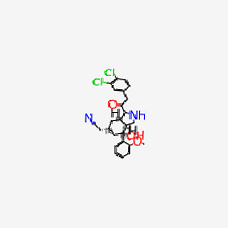 COc1ccccc1[C@]1(O)C[C@H](CC#N)C[C@H]2C(C(=O)Cc3ccc(Cl)c(Cl)c3)NC[C@H]21